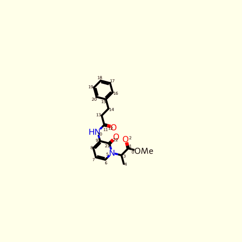 COC(=O)C(C)n1cccc(NC(=O)CCc2ccccc2)c1=O